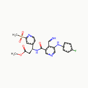 COC(=O)C[C@H](NC(=O)c1cncc(Nc2ccc(F)cc2)c1C=N)c1ccnc(S(C)(=O)=O)c1